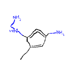 CC1=CC(N)=C=C1NN